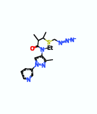 CCN(C(=O)C(C)C(C)SCN=[N+]=[N-])c1cn(-c2cccnc2)nc1C